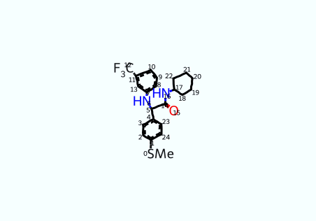 CSc1ccc(C(Nc2cccc(C(F)(F)F)c2)C(=O)NC2CCCCC2)cc1